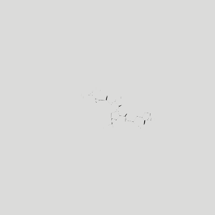 CN(C)C1CC1C(=O)NC(C(=O)N1CC2C(C1C(=O)NC(C#N)CC1CCNC1=O)C2(C)C)C(C)(C)C